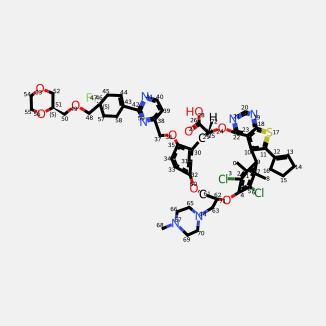 Cc1c(Cl)c2c(Cl)c(C)c1-c1c(C3=CCCC3)sc3ncnc(c13)O[C@@H](C(=O)O)Cc1cc(ccc1OCc1ccnc(C3=CC[C@](F)(COC[C@@H]4COCCO4)CC3)n1)OCC(CN1CCN(C)CC1)O2